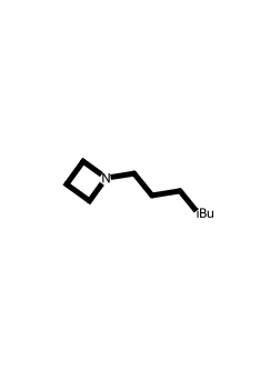 CCC(C)CCCN1CCC1